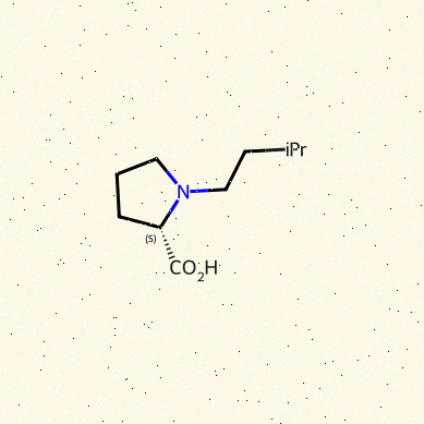 CC(C)CCN1CCC[C@H]1C(=O)O